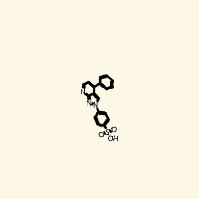 O=S(=O)(O)c1ccc(-n2cc3c(-c4ccccc4)ccnc3n2)cc1